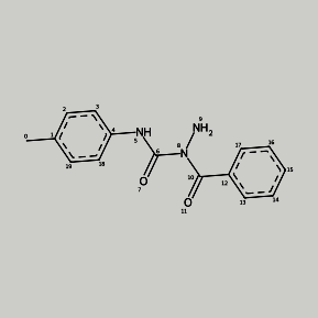 Cc1ccc(NC(=O)N(N)C(=O)c2ccccc2)cc1